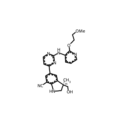 COCCOc1ncccc1Nc1nccc(-c2cc(C#N)c3c(c2)[C@@](C)(CO)CN3)n1